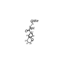 COCCNC(=O)c1ccc2c(c1)CCCO2